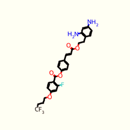 Nc1ccc(CCOC(=O)C=Cc2ccc(OC(=O)c3ccc(OCCCC(F)(F)F)cc3F)cc2)c(N)c1